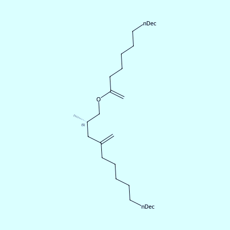 C=C(CCCCCCCCCCCCCCC)C[C@H](C)COC(=C)CCCCCCCCCCCCCCC